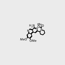 COc1cc2ncc3c(N)nc(C4CCCCN4C(=O)OC(C)(C)C)cc3c2cc1OC